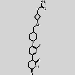 NC(=O)OC1CC(NCC2CCN(c3ccc(C4CCC(=O)NC4=O)cc3F)CC2)C1